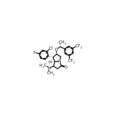 C[C@@H](O[C@H]1CN2C(=O)CC(N(C)C)[C@H]2[C@@H]1c1ccc(F)cc1Cl)c1cc(C(F)(F)F)cc(C(F)(F)F)c1